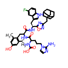 Cc1cc(O)cc(C)c1CC(NC(=O)C(CCCn1ccnc1N)NC(=O)O)C(=O)N[C@@H](Cc1c[nH]c2ccc(F)cc12)c1nc(CC23CC4CC(CC(C4)C2)C3)no1